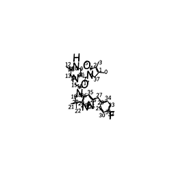 CC1=C(C)C(=O)N(C[C@H]2CN[C@H](C)CN2CC(=O)N2CC(C)(C)c3nnc(Cc4ccc(F)cc4)cc32)C1